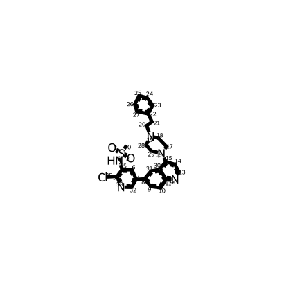 CS(=O)(=O)Nc1cc(-c2ccc3nccc(N4CCN(CCc5ccccc5)CC4)c3c2)cnc1Cl